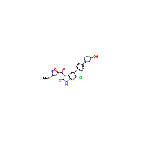 COc1cc(/C(O)=C2\C(=O)Nc3cc(Cl)c(-c4ccc(N5CC[C@@H](O)C5)cc4)cc32)on1